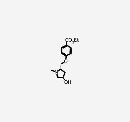 CCOC(=O)c1ccc(OC[C@@H]2C[C@@H](O)CN2C)cc1